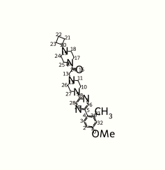 COc1ccc(-c2cnc(N3CCN(CC(=O)N4CCN(C5CCC5)CC4)CC3)cn2)c(C)c1